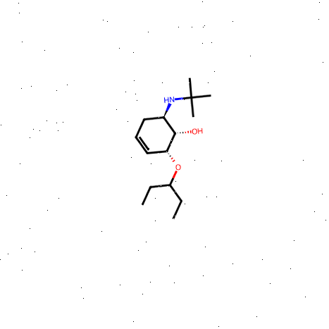 CCC(CC)O[C@@H]1C=CC[C@@H](NC(C)(C)C)[C@@H]1O